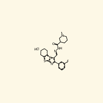 CN1CCCC(C(=O)NN=Cc2c(-c3cccc(F)c3)nc3sc4c(n23)CCCC4)C1.Cl